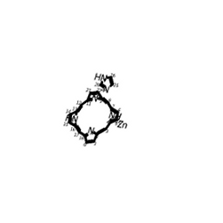 C1=Cc2cc3ccc(cc4nc(cc5ccc(cc1n2)[nH]5)C=C4)[nH]3.[Zn].c1c[nH]cn1